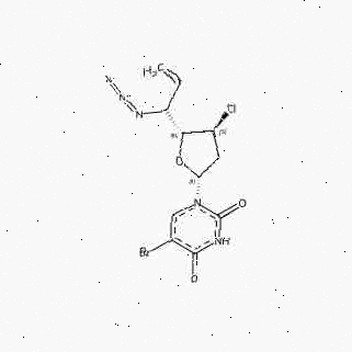 C=CC(N=[N+]=[N-])[C@H]1O[C@@H](n2cc(Br)c(=O)[nH]c2=O)C[C@@H]1Cl